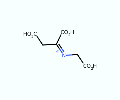 O=C(O)C/N=C(/CC(=O)O)C(=O)O